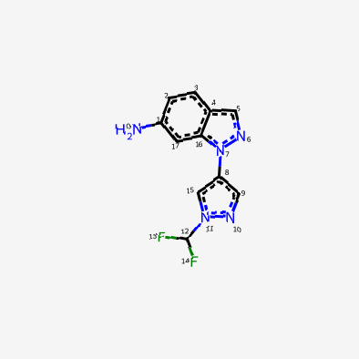 Nc1ccc2cnn(-c3cnn(C(F)F)c3)c2c1